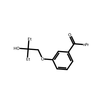 CCCC(=O)c1cccc(OCC(O)(CC)CC)c1